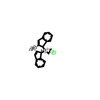 CCCC1=Cc2ccccc2[CH]1[Hf+2]1([CH]2C(CCC)=Cc3ccccc32)[CH2][CH2]1.[Cl-].[Cl-]